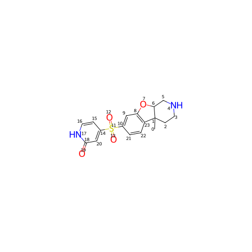 CC12CCNCC1Oc1cc(S(=O)(=O)c3cc[nH]c(=O)c3)ccc12